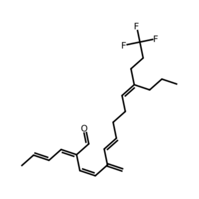 C=C(\C=C/C(C=O)=C\C=C\C)/C=C/CC/C=C(\CCC)CCC(F)(F)F